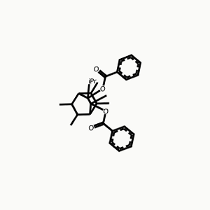 CC1C(C)C2C(C)C(C)C1C(C)(OC(=O)c1ccccc1)C2(OC(=O)c1ccccc1)C(C)C